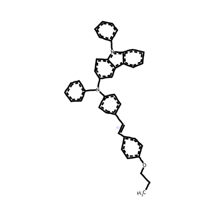 CCCOc1ccc(/C=C/c2ccc(N(c3ccccc3)c3ccc4c(c3)c3ccccc3n4-c3ccccc3)cc2)cc1